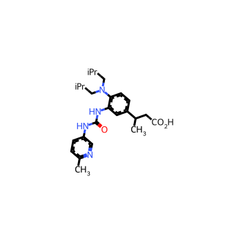 Cc1ccc(NC(=O)Nc2cc(C(C)CC(=O)O)ccc2N(CC(C)C)CC(C)C)cn1